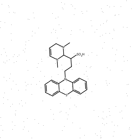 CN1C=CCN(C)C1C(CCN1c2ccccc2Sc2ccccc21)S(=O)(=O)O